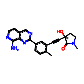 Cc1ccc(-c2ncc3ccnc(N)c3n2)cc1C#C[C@]1(O)CCN(C)C1=O